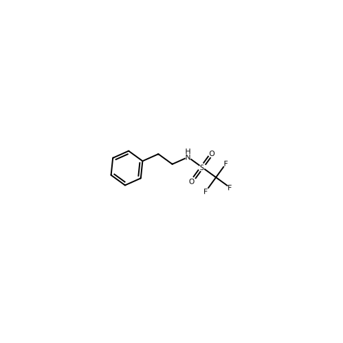 O=S(=O)(NCCc1ccccc1)C(F)(F)F